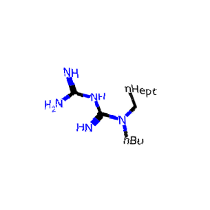 CCCCCCCCN(CCCC)C(=N)NC(=N)N